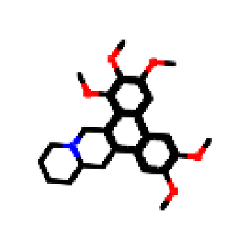 COc1cc2c3c(c4c(OC)c(OC)c(OC)cc4c2cc1OC)CN1CCCCC1C3